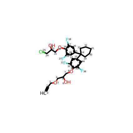 C#CCOCC(O)COc1c(F)cc(C2(c3cc(F)c(OCC(O)CCl)c(F)c3)CCCCC2)cc1F